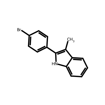 Cc1c(-c2ccc(Br)cc2)[nH]c2ccccc12